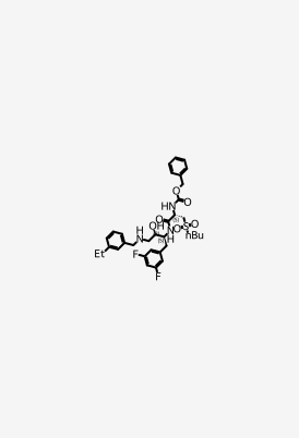 CCCCS(=O)(=O)C[C@@H](NC(=O)OCc1ccccc1)C(=O)N[C@@H](Cc1cc(F)cc(F)c1)[C@H](O)CNCc1cccc(CC)c1